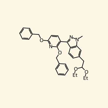 CCOC(Cc1ccc2c(-c3ccc(OCc4ccccc4)nc3OCc3ccccc3)nn(C)c2c1)OCC